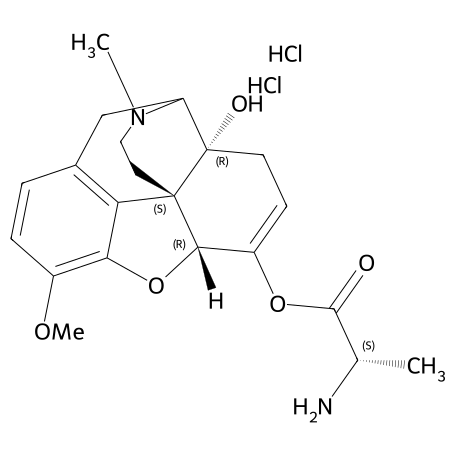 COc1ccc2c3c1O[C@H]1C(OC(=O)[C@H](C)N)=CC[C@]4(O)C(C2)N(C)CC[C@]314.Cl.Cl